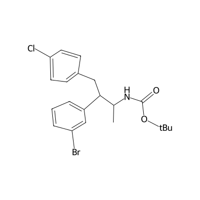 CC(NC(=O)OC(C)(C)C)C(Cc1ccc(Cl)cc1)c1cccc(Br)c1